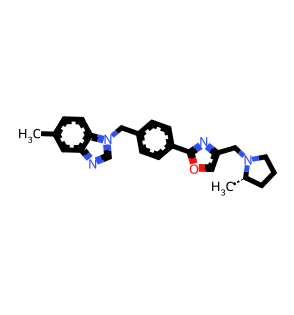 Cc1ccc2c(c1)ncn2Cc1ccc(-c2nc(CN3CCC[C@@H]3C)co2)cc1